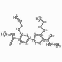 C#CCOc1cc(-c2ccc(C(=O)NN)c(OCC=C)c2)ccc1C(=O)NN